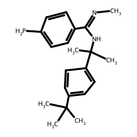 C/N=C(\NC(C)(C)c1ccc(C(C)(C)C)cc1)c1ccc(P)cc1